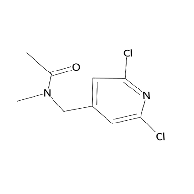 CC(=O)N(C)Cc1cc(Cl)nc(Cl)c1